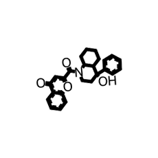 O=C(c1cc(=O)c2ccccc2o1)N1CCC(O)(c2ccccc2)C2CCCCC21